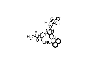 C=C(F)C(=O)N1CCN(c2nc(OCC(C)(C)N(C)C3CCC3)nc3c2CCN(c2cccc4cccc(Cl)c24)C3)CC1CC#N